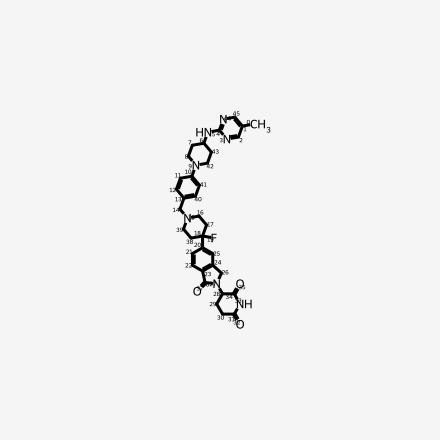 Cc1cnc(NC2CCN(c3ccc(CN4CCC(F)(c5ccc6c(c5)CN(C5CCC(=O)NC5=O)C6=O)CC4)cc3)CC2)nc1